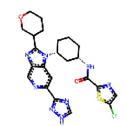 O=C(N[C@H]1CCC[C@@H](n2c(C3CCCOC3)nc3cnc(-c4nc[nH]n4)cc32)C1)c1ncc(Cl)s1